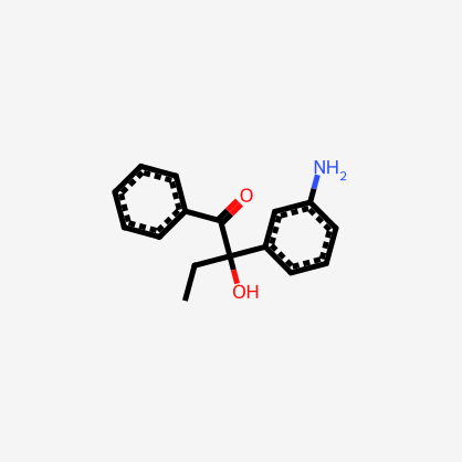 CCC(O)(C(=O)c1ccccc1)c1cccc(N)c1